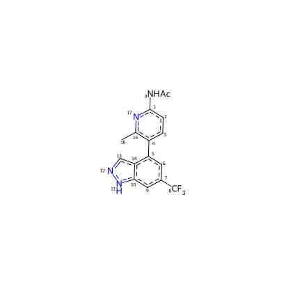 CC(=O)Nc1ccc(-c2cc(C(F)(F)F)cc3[nH]ncc23)c(C)n1